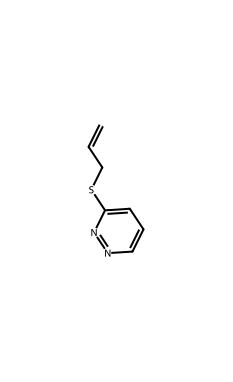 C=CCSc1cccnn1